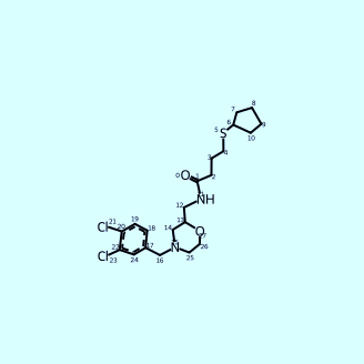 O=C(CCCSC1CCCC1)NCC1CN(Cc2ccc(Cl)c(Cl)c2)CCO1